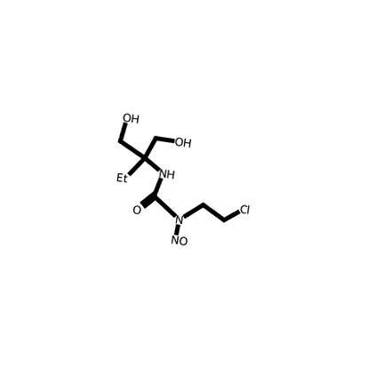 CCC(CO)(CO)NC(=O)N(CCCl)N=O